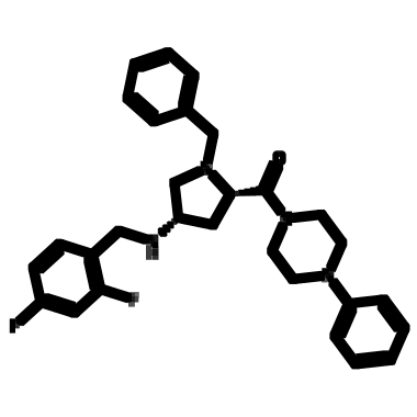 O=C([C@@H]1C[C@H](NCc2ccc(F)cc2F)CN1Cc1ccccc1)N1CCN(c2ccccc2)CC1